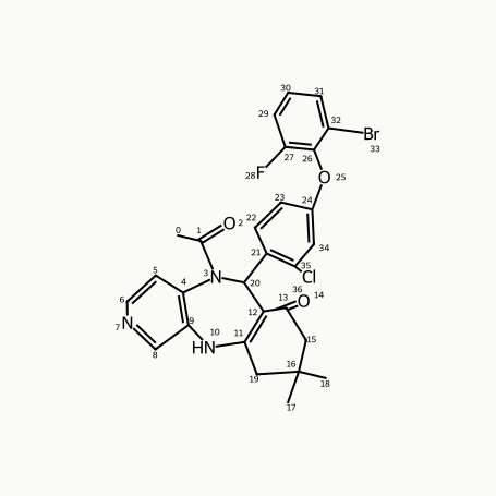 CC(=O)N1c2ccncc2NC2=C(C(=O)CC(C)(C)C2)C1c1ccc(Oc2c(F)cccc2Br)cc1Cl